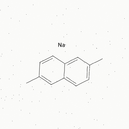 Cc1ccc2cc(C)ccc2c1.[Na]